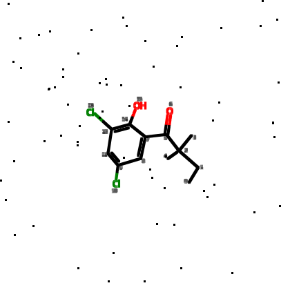 CCC(C)(C)C(=O)c1cc(Cl)cc(Cl)c1O